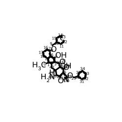 Cc1c2c(c(O)c3c(OCc4ccccc4)cccc13)C(=O)[C@]1(O)C(=O)c3c(OCc4ccccc4)noc3[C@@H](N)[C@@H]1C2